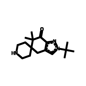 CC(C)(C)n1cc2c(n1)C(=O)C(C)(C)C1(CCNCC1)C2